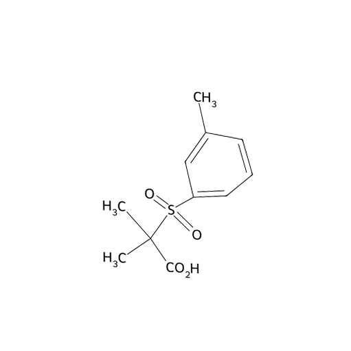 Cc1cccc(S(=O)(=O)C(C)(C)C(=O)O)c1